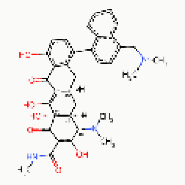 CNC(=O)C1=C(O)[C@H](N(C)C)[C@@H]2C[C@@H]3Cc4c(-c5ccc(CN(C)C)c6ccccc56)ccc(O)c4C(=O)C3=C(O)[C@]2(O)C1=O